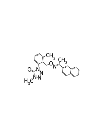 CC(=NOCc1c(C)cccc1-n1nnn(C)c1=O)c1ccc2ccccc2c1